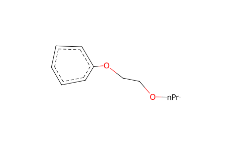 CC[CH]OCCOc1ccccc1